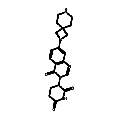 O=C1CCC(n2cnc3cc(N4CC5(CCNCC5)C4)ccc3c2=O)C(=O)N1